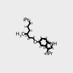 CCCc1c[nH]c2ccc(OCCC(C)CCCC(C)C)cc12